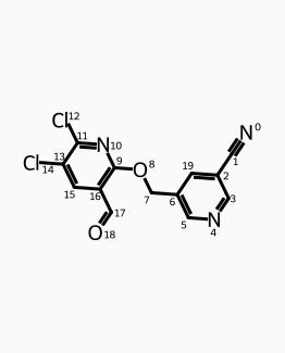 N#Cc1cncc(COc2nc(Cl)c(Cl)cc2C=O)c1